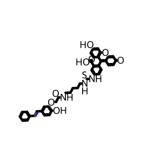 O=C(COc1cc(/C=C/c2ccccc2)ccc1O)NCCCCCNC(=S)Nc1ccc(-c2c3ccc(=O)cc-3oc3cc(O)ccc23)c(C(=O)O)c1